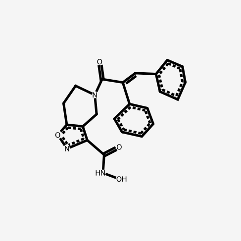 O=C(NO)c1noc2c1CN(C(=O)C(=Cc1ccccc1)c1ccccc1)CC2